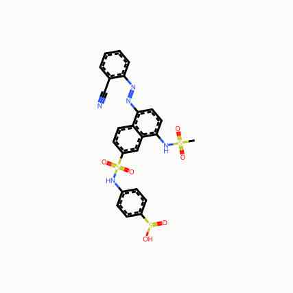 CS(=O)(=O)Nc1ccc(N=Nc2ccccc2C#N)c2ccc(S(=O)(=O)Nc3ccc(S(=O)O)cc3)cc12